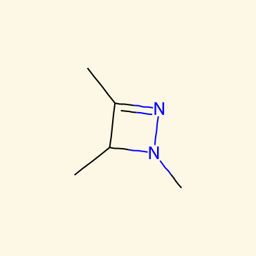 CC1=NN(C)C1C